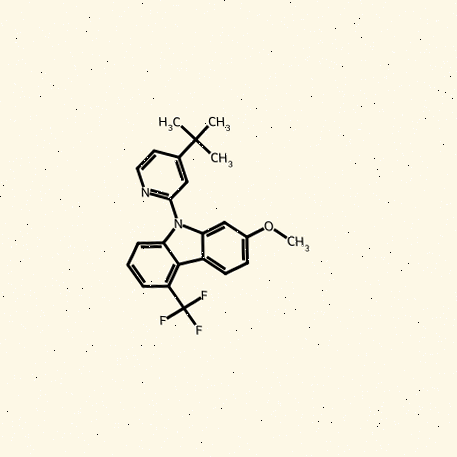 COc1ccc2c3c(C(F)(F)F)cccc3n(-c3cc(C(C)(C)C)ccn3)c2c1